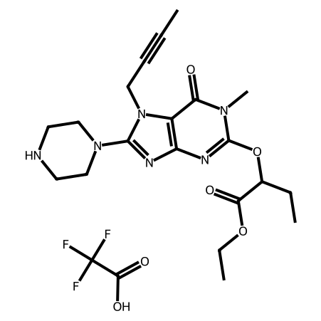 CC#CCn1c(N2CCNCC2)nc2nc(OC(CC)C(=O)OCC)n(C)c(=O)c21.O=C(O)C(F)(F)F